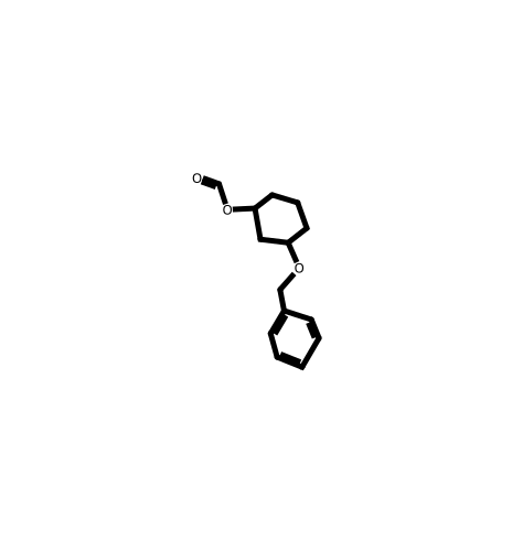 O=COC1CCCC(OCc2ccccc2)C1